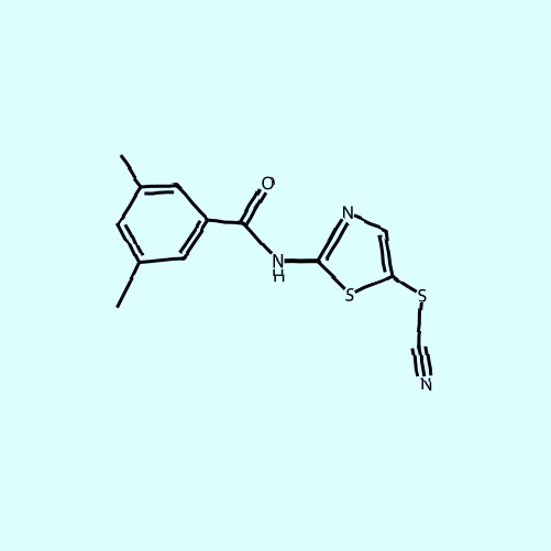 Cc1cc(C)cc(C(=O)Nc2ncc(SC#N)s2)c1